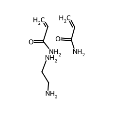 C=CC(N)=O.C=CC(N)=O.NCCN